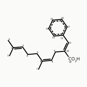 CC(C)=CCCC(C)=CCC(=Cc1ccccc1)C(=O)O